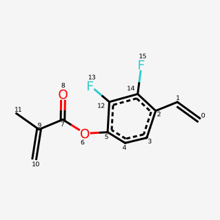 C=Cc1ccc(OC(=O)C(=C)C)c(F)c1F